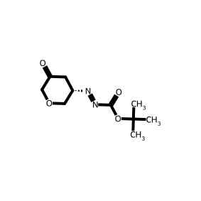 CC(C)(C)OC(=O)N=N[C@@H]1COCC(=O)C1